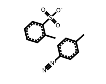 Cc1ccc([N+]#N)cc1.Cc1ccccc1S(=O)(=O)[O-]